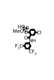 COP(=O)(O)Oc1ccc(Cl)cc1C(=O)Nc1cc(C(F)(F)F)cc(C(F)(F)F)c1